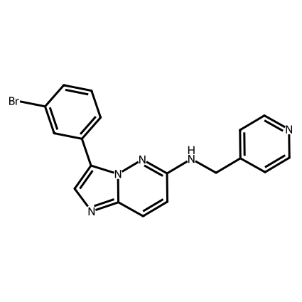 Brc1cccc(-c2cnc3ccc(NCc4ccncc4)nn23)c1